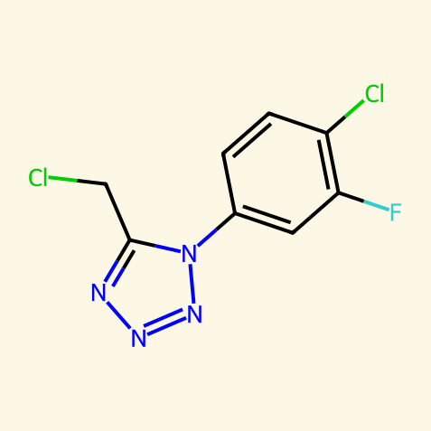 Fc1cc(-n2nnnc2CCl)ccc1Cl